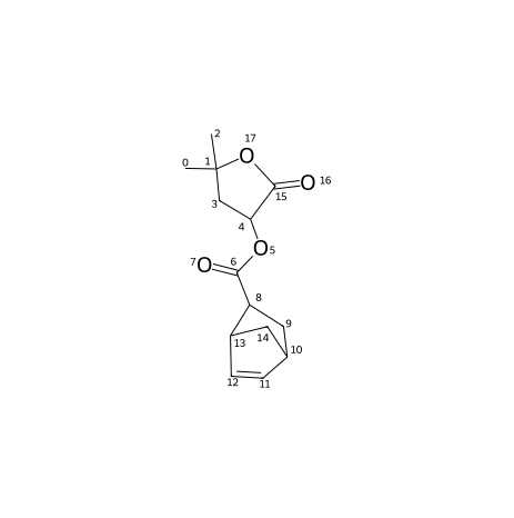 CC1(C)CC(OC(=O)C2CC3C=CC2C3)C(=O)O1